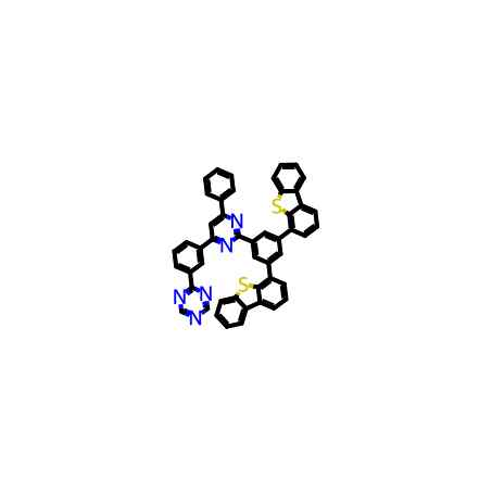 c1ccc(-c2cc(-c3cccc(-c4ncncn4)c3)nc(-c3cc(-c4cccc5c4sc4ccccc45)cc(-c4cccc5c4sc4ccccc45)c3)n2)cc1